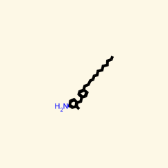 CCCCCCCCCCCCCc1ccc(Cc2ccc(N)cc2C)cc1